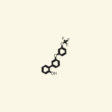 Oc1ccccc1-c1cccc(Oc2cccc(OC(F)(F)F)c2)c1